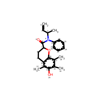 C=CC(C)N(C(=O)C1CCc2c(C)c(O)c(C)c(C)c2O1)c1ccccc1